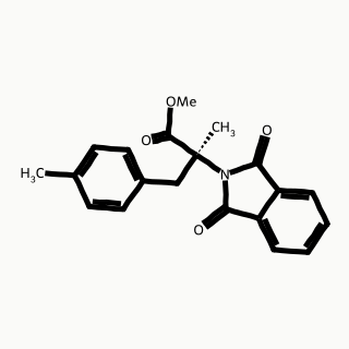 COC(=O)[C@](C)(Cc1ccc(C)cc1)N1C(=O)c2ccccc2C1=O